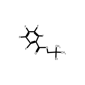 CCC(C)(C)COC(=O)c1c(F)c(F)c(F)c(F)c1F